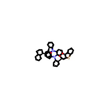 c1ccc(N(c2ccc(-c3cccc4ccccc34)cc2)c2ccccc2-n2c3ccccc3c3ccccc32)c(-c2ccc3c(c2)sc2ccccc23)c1